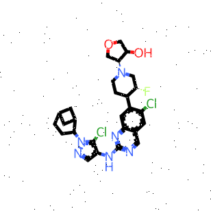 OC1COC[C@H]1N1CCC(c2cc3nc(Nc4cnn(C5CCC6CC5C6)c4Cl)ncc3cc2Cl)[C@@H](F)C1